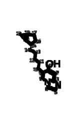 Oc1cc2nccn2cc1CCCCC[C@H]1CCC2CC21